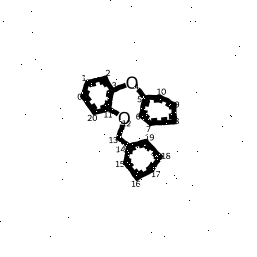 [c]1ccc(Oc2ccccc2)c(OCc2ccccc2)c1